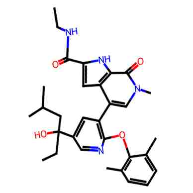 CCNC(=O)c1cc2c(-c3cc(C(O)(CC)CC(C)C)cnc3Oc3c(C)cccc3C)cn(C)c(=O)c2[nH]1